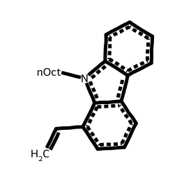 C=Cc1cccc2c3ccccc3n(CCCCCCCC)c12